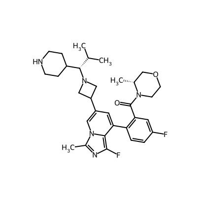 Cc1nc(F)c2c(-c3ccc(F)cc3C(=O)N3CCOC[C@H]3C)cc(C3CN([C@@H](C(C)C)C4CCNCC4)C3)cn12